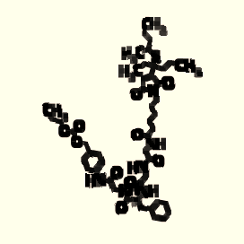 CCCOC(=O)OCc1ccc(NC(=O)CNC(=O)[C@H](Cc2ccccc2)NC(=O)CNC(=O)CNC(=O)CCCCCN2C(=O)C=C(C(CC)(CCC)SC(C)CCC)C2=O)cc1